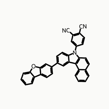 N#Cc1ccc(-n2c3ccc(-c4ccc5c(c4)oc4ccccc45)cc3c3c4ccccc4ccc32)cc1C#N